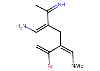 C=C(Br)/C(=C\NC)C/C(=C/N)C(C)=N